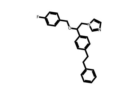 Fc1ccc(COC(Cn2ccnc2)c2ccc(CCc3ccccc3)cc2)cc1